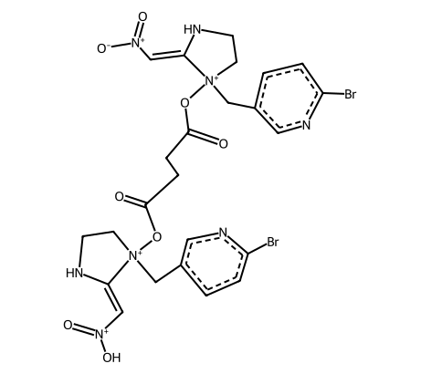 O=C(CCC(=O)O[N+]1(Cc2ccc(Br)nc2)CCNC1=C[N+](=O)O)O[N+]1(Cc2ccc(Br)nc2)CCNC1=C[N+](=O)[O-]